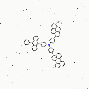 Cc1ccc2ccc3c(-c4ccc(N(c5ccc(-c6c7ccccc7c(-c7ccccc7)c7ccccc67)cc5)c5ccc(-c6ccc7c8cccc9cccc(c%10cccc6c%107)c98)cc5)cc4)ccc4ccc1c2c43